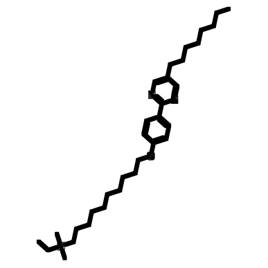 CCCCCCCCc1cnc(-c2ccc(OCCCCCCCCCC[Si](C)(C)CC)cc2)nc1